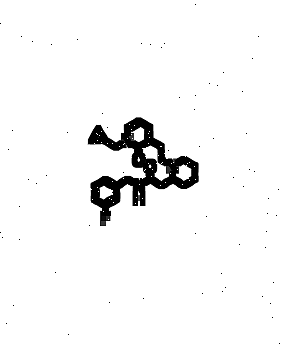 O=C(CC1CCCCN1CCc1cccn(CC2CC2)c1=O)NCc1cccc(F)c1